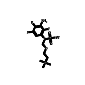 CCCS(=O)(=O)N(COCC[Si](C)(C)C)c1cc(F)c(F)c(N)c1F